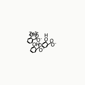 O=C([O-])c1ccccc1O.O=C([O-])c1ccccc1O.O=C([O-])c1ccccc1O.[Zn+3]